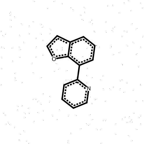 [c]1cc(-c2ccccn2)c2occc2c1